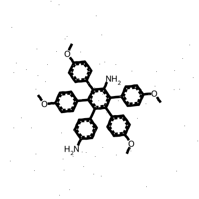 COc1ccc(-c2c(N)c(-c3ccc(OC)cc3)c(-c3ccc(OC)cc3)c(-c3ccc(N)cc3)c2-c2ccc(OC)cc2)cc1